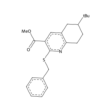 COC(=O)c1cc2c(nc1SCc1ccccc1)CCC(C(C)(C)C)C2